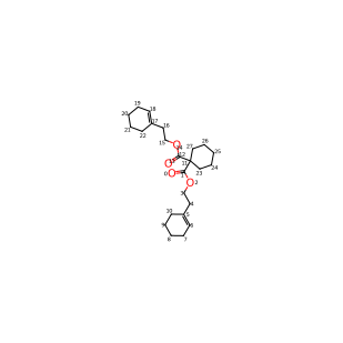 O=C(OCCC1=CCCCC1)C1(C(=O)OCCC2=CCCCC2)CCCCC1